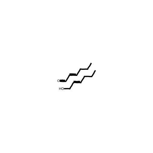 CCC/C=C/C=O.CCCC=CCO